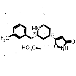 CC(=O)O.O=c1cc([C@H]2CCN[C@@H](Cc3cccc(C(F)(F)F)c3)C2)o[nH]1